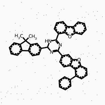 CC1(C)c2ccccc2-c2ccc(C3N=C(c4ccc5c(c4)oc4cccc(-c6ccccc6)c45)N=C(c4cccc5c4oc4ccccc45)N3)cc21